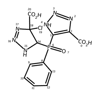 O=C(O)c1nn[nH]c1P(=O)(c1ccccc1)C1NN=NC1(Cl)C(=O)O